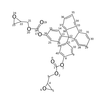 O=C(OCC1CO1)Oc1ccc(C2(c3ccc(OC(=O)OCC4CO4)cc3)C3=C=CC=CC3c3ccccc32)cc1